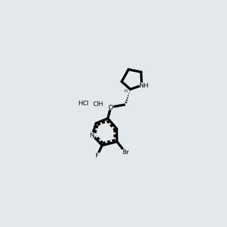 Cl.Cl.Fc1ncc(OC[C@@H]2CCCN2)cc1Br